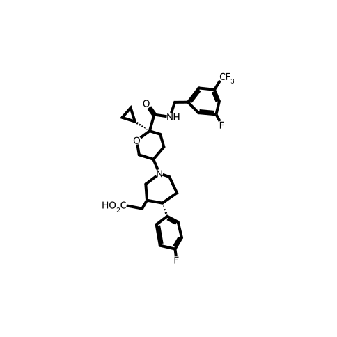 O=C(O)CC1CN(C2CC[C@@](C(=O)NCc3cc(F)cc(C(F)(F)F)c3)(C3CC3)OC2)CC[C@@H]1c1ccc(F)cc1